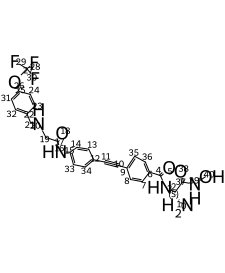 NC[C@H](NC(=O)c1ccc(C#Cc2ccc(NC(=O)CNCc3ccc(OC(F)(F)F)cc3)cc2)cc1)C(=O)NO